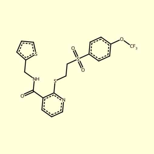 O=C(NCc1cccs1)c1cccnc1SCCS(=O)(=O)c1ccc(OC(F)(F)F)cc1